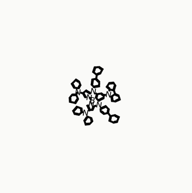 c1ccc(-c2ccc(N3c4cc(-n5c6ccccc6c6ccccc65)cc5c4B(n4cc(N(c6ccccc6)c6ccccc6)cc43)n3cc(N(c4ccccc4)c4ccccc4)cc3N5c3ccc(-c4ccccc4)cc3)cc2)cc1